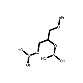 CCCOCC(CON(O)O)ON(O)O